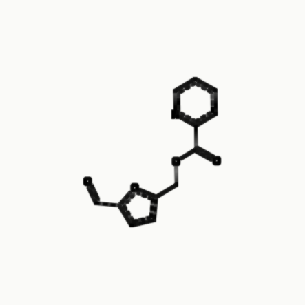 O=Cc1ccc(COC(=O)c2ccccn2)o1